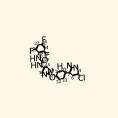 Nc1ncc(Cl)cc1-c1ccc(Oc2ncc(NC(=O)Nc3c(F)cc(F)cc3F)cn2)cc1